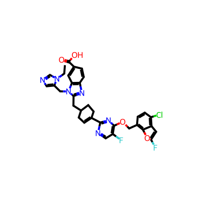 CCn1cncc1Cn1c(CC2CC=C(c3ncc(F)c(OCc4ccc(Cl)c5cc(F)oc45)n3)CC2)nc2ccc(C(=O)O)cc21